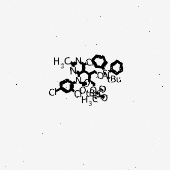 Cc1nc(Cl)c(C(CCOS(C)(=O)=O)CO[Si](c2ccccc2)(c2ccccc2)C(C)(C)C)c(N(C(=O)OC(C)(C)C)c2ccc(Cl)cc2Cl)n1